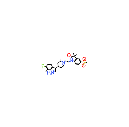 Cc1c(F)ccc2c([C@@H]3CCN(CCN4C(=O)C(C)(C)c5cc(S(C)(=O)=O)ccc54)[C@@H](C)C3)c[nH]c12